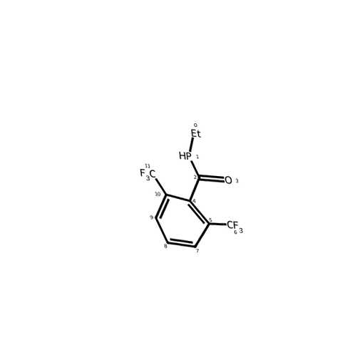 CCPC(=O)c1c(C(F)(F)F)cccc1C(F)(F)F